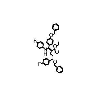 CCOC(=O)/C(CC[C@H](OCc1ccccc1)c1ccc(F)cc1)=C(/Nc1ccc(F)cc1)c1ccc(OCc2ccccc2)cc1